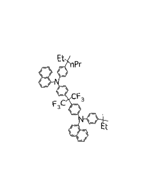 CCCC(C)(CC)c1ccc(N(c2ccc(C(c3ccc(N(c4ccc(C(C)(C)CC)cc4)c4cccc5ccccc45)cc3)(C(F)(F)F)C(F)(F)F)cc2)c2cccc3ccccc23)cc1